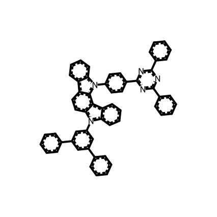 c1ccc(-c2cc(-c3ccccc3)cc(-n3c4ccccc4c4c3ccc3c5ccccc5n(-c5ccc(-c6nc(-c7ccccc7)nc(-c7ccccc7)n6)cc5)c34)c2)cc1